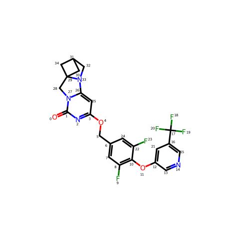 O=c1nc(OCc2cc(F)c(Oc3cncc(C(F)(F)F)c3)c(F)c2)cc2n1CC13CC(CN21)C3